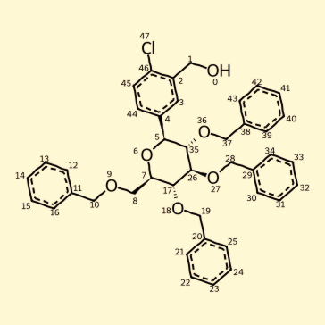 OCc1cc([C@@H]2O[C@H](COCc3ccccc3)[C@@H](OCc3ccccc3)[C@H](OCc3ccccc3)[C@H]2OCc2ccccc2)ccc1Cl